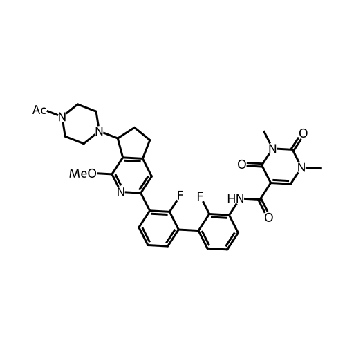 COc1nc(-c2cccc(-c3cccc(NC(=O)c4cn(C)c(=O)n(C)c4=O)c3F)c2F)cc2c1C(N1CCN(C(C)=O)CC1)CC2